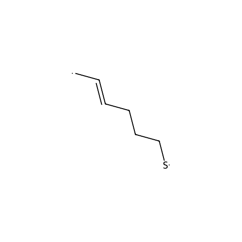 [CH2]C=CCCC[S]